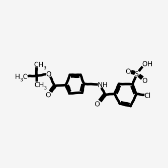 CC(C)(C)OC(=O)c1ccc(NC(=O)c2ccc(Cl)c(S(=O)(=O)O)c2)cc1